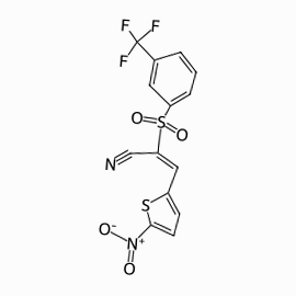 N#CC(=Cc1ccc([N+](=O)[O-])s1)S(=O)(=O)c1cccc(C(F)(F)F)c1